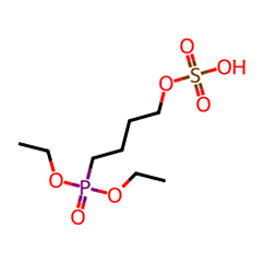 CCOP(=O)(CCCCOS(=O)(=O)O)OCC